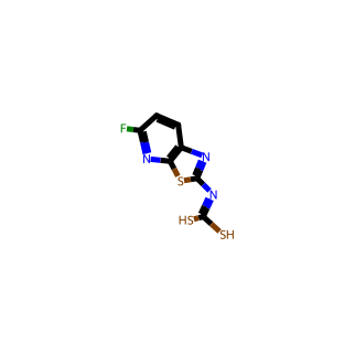 Fc1ccc2nc(N=C(S)S)sc2n1